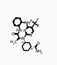 C=CC(=O)Nc1ccccc1Nc1nc(N[C@H]2CCC[C@@H](C(N)=O)C2)ncc1C(F)(F)F